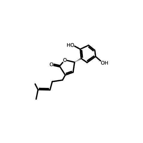 CC(C)=CCCC1=C[C@@H](c2cc(O)ccc2O)OC1=O